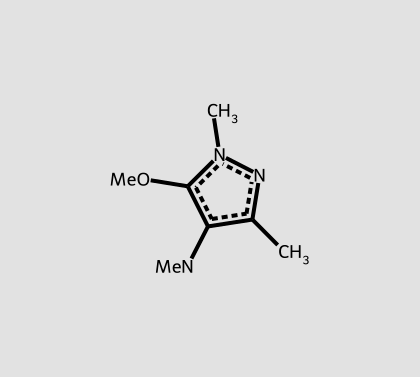 CNc1c(C)nn(C)c1OC